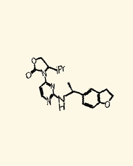 CC(C)C1COC(=O)N1c1ccnc(N[C@@H](C)c2ccc3c(c2)CCO3)n1